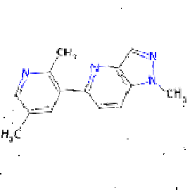 Cc1cnc(C)c(-c2ccc3c(cnn3C)n2)c1